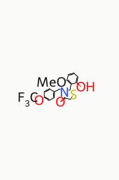 COc1cccc(O)c1C1SCC(=O)N1Cc1ccc(OC(F)(F)F)cc1